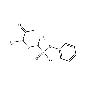 CCP(=O)(Oc1ccccc1)N(C)SN(C)C(=O)F